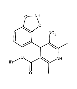 CC1=C(C(=O)OC(C)C)C(c2cccc3c2ONO3)C([N+](=O)[O-])=C(C)N1